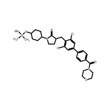 CC(C)(C)[Si](C)(C)OC1CCC(N2CCC(Cc3c(Cl)cc(-c4ccc(C(=O)N5CCOCC5)cc4)cc3Cl)C2=O)CC1